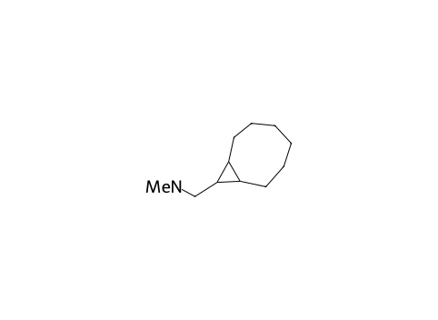 CNCC1C2CCCCCCC21